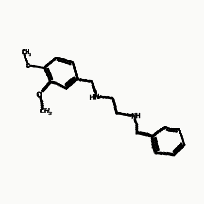 COc1ccc(CNCCNCc2ccccc2)cc1OC